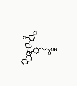 O=C(O)CCCc1ccc(-n2c(-c3ccc(-c4ccc(Cl)cc4Cl)o3)cc3c4ccccc4ccc32)cc1